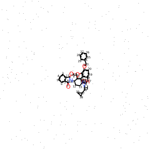 O=C1c2ccccc2C(=O)N1[C@@H]1CCC2(O)[C@H]3Cc4ccc(OCc5ccccc5)c5c4[C@@]2(CCN3CC2CC2)[C@H]1O5